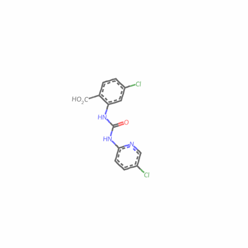 O=C(Nc1ccc(Cl)cn1)Nc1cc(Cl)ccc1C(=O)O